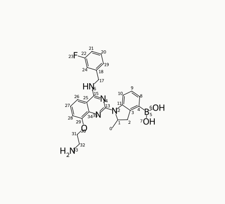 CC1Cc2c(B(O)O)cccc2N1c1nc(NCc2cccc(F)c2)c2cccc(OCCN)c2n1